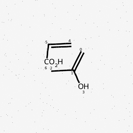 C=C(C)O.C=CC(=O)O